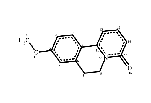 COc1ccc2c(c1)CCn1c-2c[c]cc1=O